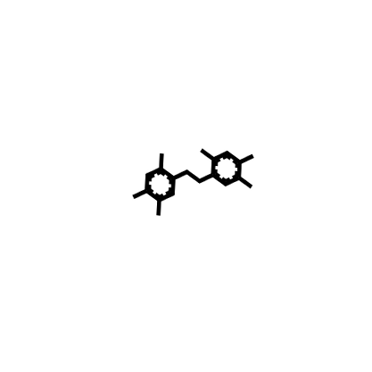 Cc1cc(C)c(CCc2cc(C)c(C)cc2C)cc1C